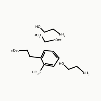 CCCCCCCCCCCC(=O)O.CCCCCCCCCCCCc1ccccc1S(=O)(=O)O.NCCO.NCCO